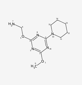 COc1nc(OCN)nc(N2CCCCC2)n1